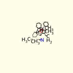 C=CC[C@@H](C[C@@H]1C(C)=CC[C@@H](C(C)C)[C@H]1CC#N)O[Si](c1ccccc1)(c1ccccc1)C(C)(C)C